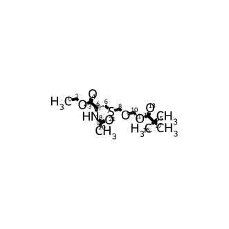 CCOC(=O)[C@H](CSCOCOC(=O)C(C)(C)C)NC(C)=O